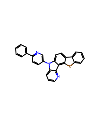 c1ccc(-c2ccc(-n3c4cccnc4c4c5sc6ccccc6c5ccc43)cn2)cc1